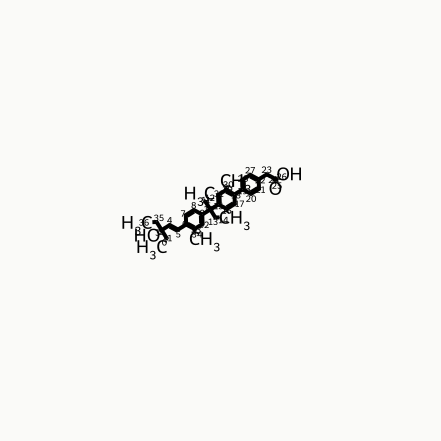 CCC(O)(C=Cc1ccc(C(CC)(CC)c2ccc(-c3ccc(CC(=O)O)cc3)c(C)c2)cc1C)CC